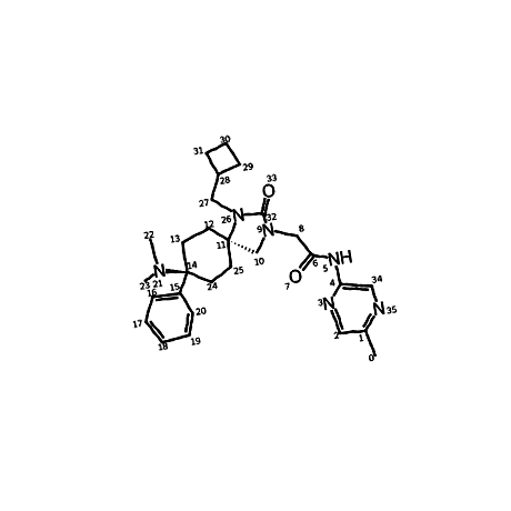 Cc1cnc(NC(=O)CN2C[C@]3(CC[C@](c4ccccc4)(N(C)C)CC3)N(CC3CCC3)C2=O)cn1